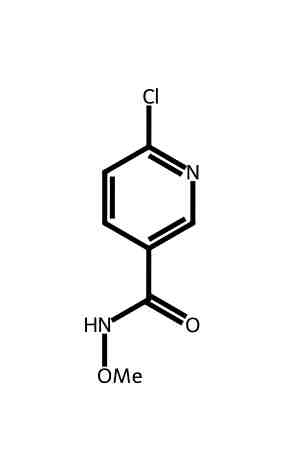 CONC(=O)c1ccc(Cl)nc1